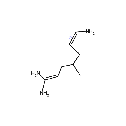 CC(CC=C(N)N)C/C=C\N